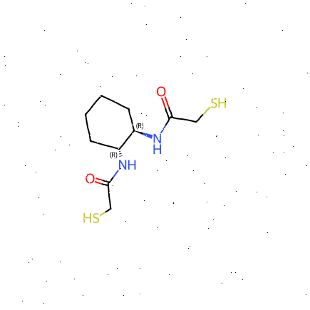 O=C(CS)N[C@@H]1CCCC[C@H]1NC(=O)CS